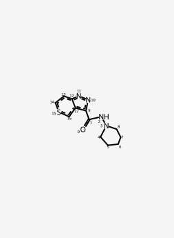 O=C(NN1CCCCC1)c1nnc2ccscc1-2